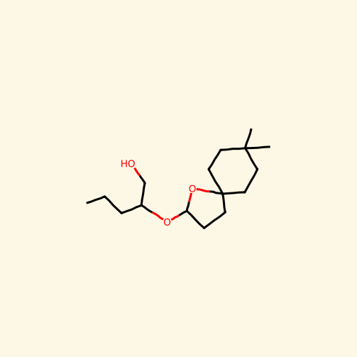 CCCC(CO)OC1CCC2(CCC(C)(C)CC2)O1